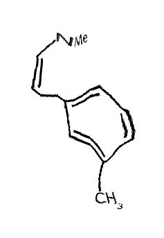 CN/C=C\c1cccc(C)c1